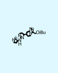 CC(C)COCc1nnc2cc(-c3ccnc(Nc4ccnn4C)n3)ccn12